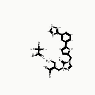 NCC(Cn1ncn(Cc2ccc(-c3cccc(-c4nc[nH]n4)c3)s2)c1=O)=C(F)F.O=C(O)C(F)(F)F